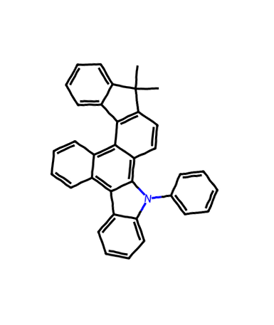 CC1(C)c2ccccc2-c2c1ccc1c2c2ccccc2c2c3ccccc3n(-c3ccccc3)c12